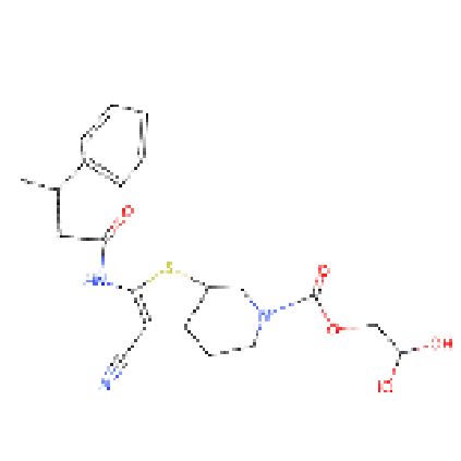 CC(CC(=O)NC1=C(C#N)C2CCN(C(=O)OCC(O)O)CC2S1)c1ccccc1